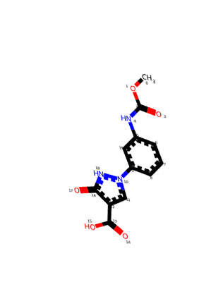 COC(=O)Nc1cccc(-n2cc(C(=O)O)c(=O)[nH]2)c1